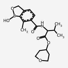 Cc1c(C(=O)NC(C(=O)OC2CCOCC2)C(C)C)ccc2c1B(O)OC2